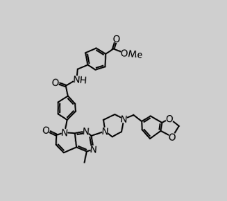 COC(=O)c1ccc(CNC(=O)c2ccc(-n3c(=O)ccc4c(C)nc(N5CCN(Cc6ccc7c(c6)OCO7)CC5)nc43)cc2)cc1